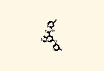 O=C(Nc1cc(F)ccn1)c1cc(Oc2cncc(F)c2)cn2cnnc12